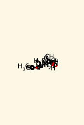 COc1ccc(-c2ccc3cc(-c4nc5cc(C(=O)N6C[C@H]7CC[C@@H]6[C@@H]7N)cc(OC)c5n4C)n(CC4CC4)c3n2)cc1